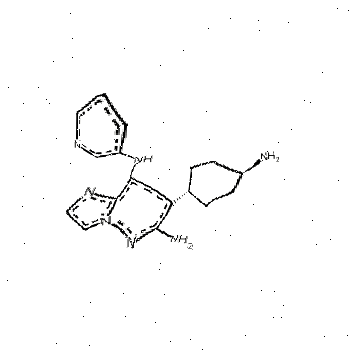 Nc1nn2ccnc2c(Nc2cccnc2)c1[C@H]1CC[C@H](N)CC1